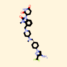 CN(C[C@H]1CC[C@H](n2cc(N)c(C(F)F)n2)CC1)C1CCN(Cc2cccc3c2n(C)c(=O)n3C2CCC(=O)NC2=O)CC1